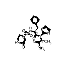 C[C@@H](C(N)=O)N(C(=O)[C@H](Cc1ccccc1)NS(=O)(=O)N1CCNC(=O)C1)c1nccs1